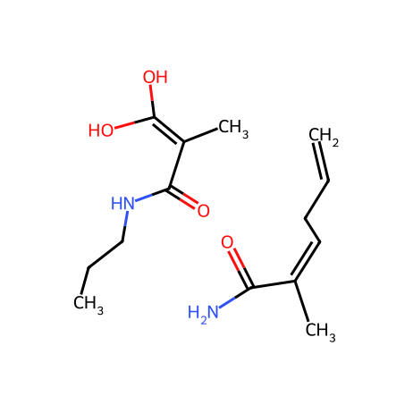 C=CCC=C(C)C(N)=O.CCCNC(=O)C(C)=C(O)O